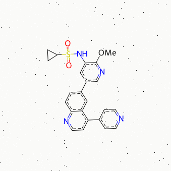 COc1ncc(-c2ccc3nccc(-c4ccncc4)c3c2)cc1NS(=O)(=O)C1CC1